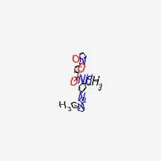 Cc1cc(N2CCC(N3CCCC3C)C2)ccc1NC(=O)c1ccc(-n2ccccc2=O)o1